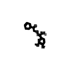 COc1nc(/C(N)=N/OCC(=O)c2ccccc2)ccc1Br